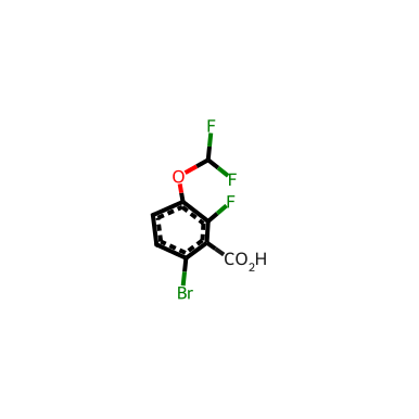 O=C(O)c1c(Br)ccc(OC(F)F)c1F